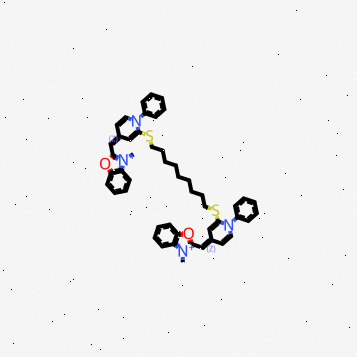 C[n+]1c(/C=C2/C=CN(c3ccccc3)C(SCCCCCCCCCSC3=C/C(=C\c4oc5ccccc5[n+]4C)C=CN3c3ccccc3)=C2)oc2ccccc21